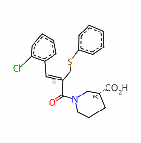 O=C(O)[C@@H]1CCCN(C(=O)/C(=C/c2ccccc2Cl)CSc2ccccc2)C1